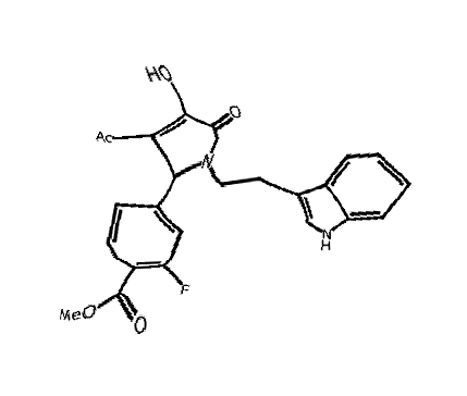 COC(=O)c1ccc(C2C(C(C)=O)=C(O)C(=O)N2CCc2c[nH]c3ccccc23)cc1F